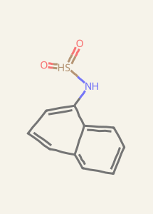 O=[SH](=O)Nc1cccc2ccccc12